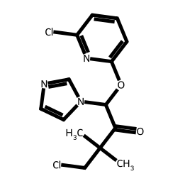 CC(C)(CCl)C(=O)C(Oc1cccc(Cl)n1)n1ccnc1